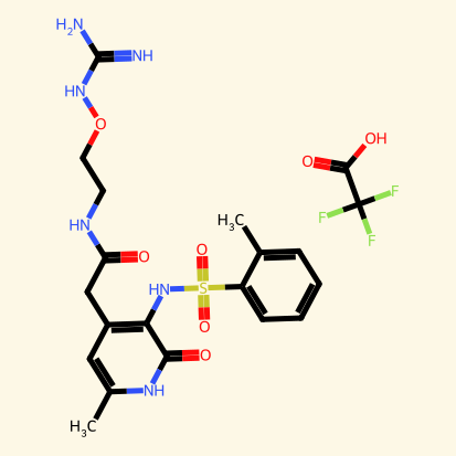 Cc1cc(CC(=O)NCCONC(=N)N)c(NS(=O)(=O)c2ccccc2C)c(=O)[nH]1.O=C(O)C(F)(F)F